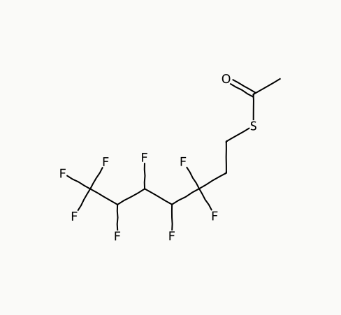 CC(=O)SCCC(F)(F)C(F)C(F)C(F)C(F)(F)F